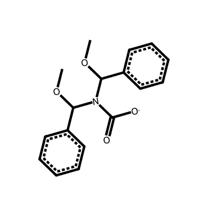 COC(c1ccccc1)N(C([O])=O)C(OC)c1ccccc1